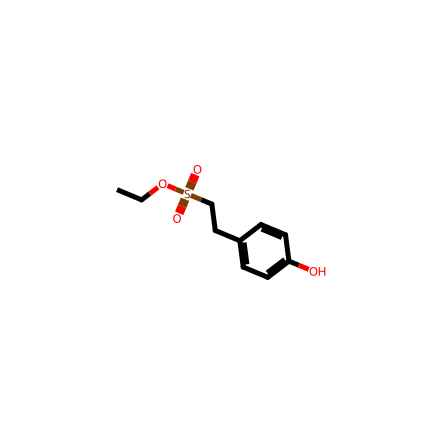 CCOS(=O)(=O)CCc1ccc(O)cc1